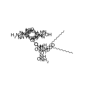 CCCCCCCCCCCCCC(=O)OC(CCCCCCCCCCCCC)CC(=O)N[C@H](C(=O)N[C@@H](CCCNC(N)=O)C(=O)Nc1ccc(CSP2(=O)OC[C@H]3O[C@@H](n4cnc5c(N)ncnc54)[C@H](F)[C@@H]3OP(=O)(S)OC[C@H]3O[C@@H](n4cnc5c(O)ncnc54)[C@H](F)[C@@H]3O2)cc1)C(C)C